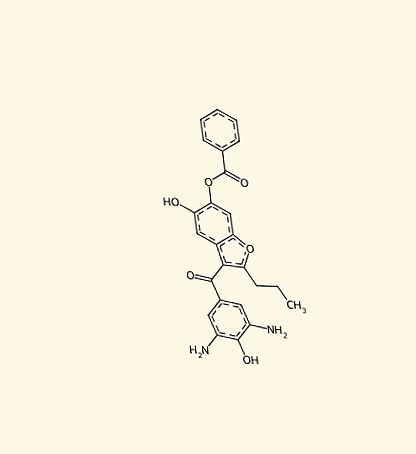 CCCc1oc2cc(OC(=O)c3ccccc3)c(O)cc2c1C(=O)c1cc(N)c(O)c(N)c1